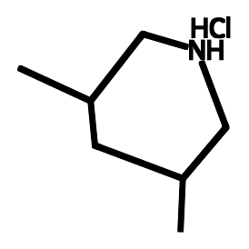 CC1CNCC(C)C1.Cl